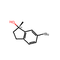 CC(C)(C)c1ccc2c(c1)[C@@](C)(O)CC2